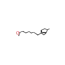 CC1CC2C=C1CC2CCCCCCC1CO1